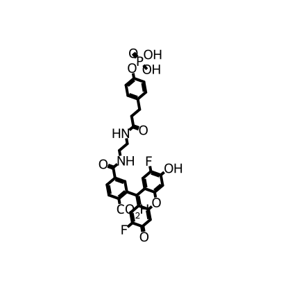 O=C(CCc1ccc(OP(=O)(O)O)cc1)NCCNC(=O)c1ccc(C(=O)O)c(-c2c3cc(F)c(=O)cc-3oc3cc(O)c(F)cc23)c1